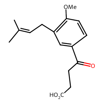 COc1ccc(C(=O)CCC(=O)O)cc1CC=C(C)C